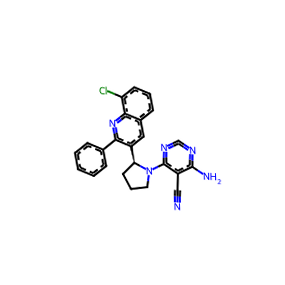 N#Cc1c(N)ncnc1N1CCC[C@H]1c1cc2cccc(Cl)c2nc1-c1ccccc1